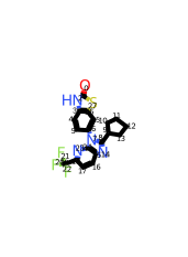 O=c1[nH]c2ccc(-n3c(C4CCCC4)nc4ccc(C(F)(F)F)nc43)cc2s1